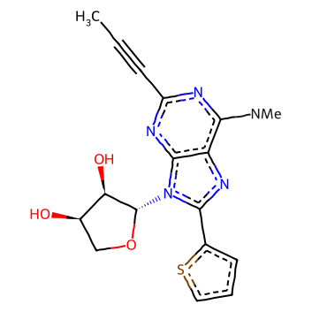 CC#Cc1nc(NC)c2nc(-c3cccs3)n([C@@H]3OC[C@@H](O)[C@H]3O)c2n1